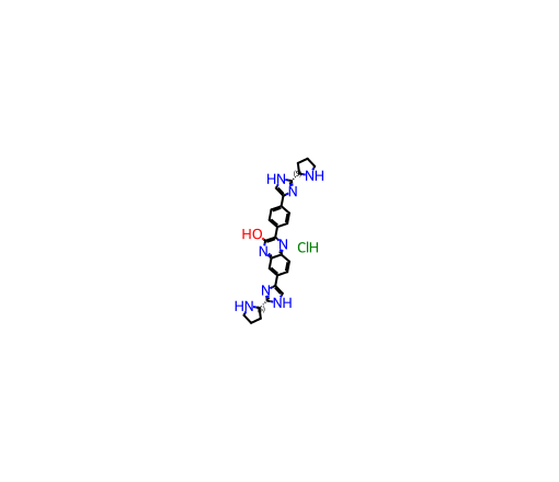 Cl.Oc1nc2cc(-c3c[nH]c([C@@H]4CCCN4)n3)ccc2nc1-c1ccc(-c2c[nH]c([C@@H]3CCCN3)n2)cc1